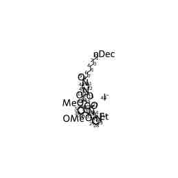 CCCCCCCCCCCCCCCCCC(=O)N1CCN(C(=O)C(=O)C(COC(=O)N(Cc2cccc[n+]2CC)C(=O)c2ccccc2OC)OC)CC1.[I-]